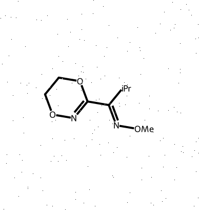 CO/N=C(/C1=NOCCO1)C(C)C